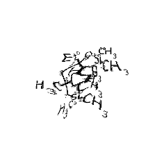 CCC(C)(CC(C)(C)C[Si](C)(C)C)O[Si](C)(C)C